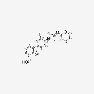 OCc1cccc(-c2cnc(N3CC(OC4CCCCO4)C3)c(F)c2)c1F